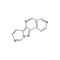 c1cc2c(cn1)cnc1c2nn2cnccc12